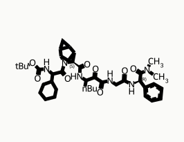 CCCCC(NC(=O)[C@@H]1C2CC(C3CC32)N1C(=O)C(NC(=O)OC(C)(C)C)C1CCCCC1)C(=O)C(=O)NCC(=O)N[C@@H](C(=O)N(C)C)c1ccccc1